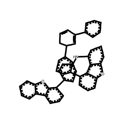 C1=CC(c2ccccc2)=CC(c2cccc(-c3cccc4oc5cccc(Nc6ccc(-c7cccc8c7oc7ccccc78)cc6)c5c34)c2)C1